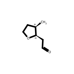 C[C@@H]1CCO[C@@H]1CC=O